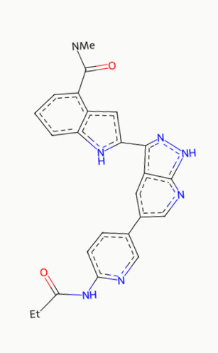 CCC(=O)Nc1ccc(-c2cnc3[nH]nc(-c4cc5c(C(=O)NC)cccc5[nH]4)c3c2)cn1